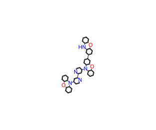 c1ccc2c(c1)Nc1cc(-c3ccc4c(c3)Oc3ccccc3N4c3ccnc(-c4cc(N5c6ccccc6Oc6ccccc65)ccn4)c3)ccc1O2